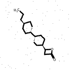 CCC[C@H]1CC[C@H]([C@H]2CC[C@H](C3CC(=O)O3)CC2)CC1